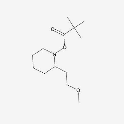 COCCC1CCCCN1OC(=O)C(C)(C)C